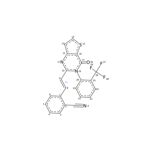 N#Cc1ccccc1/C=C/c1nc2ccsc2c(=O)n1-c1ccccc1C(F)(F)F